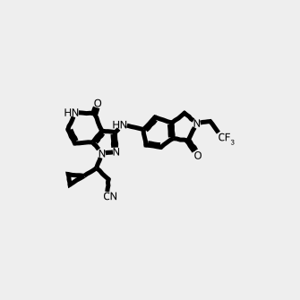 N#CCC(C1CC1)n1nc(Nc2ccc3c(c2)CN(CC(F)(F)F)C3=O)c2c(=O)[nH]ccc21